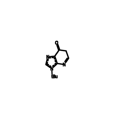 CC(C)(C)n1cnc2c1N=CCC2=O